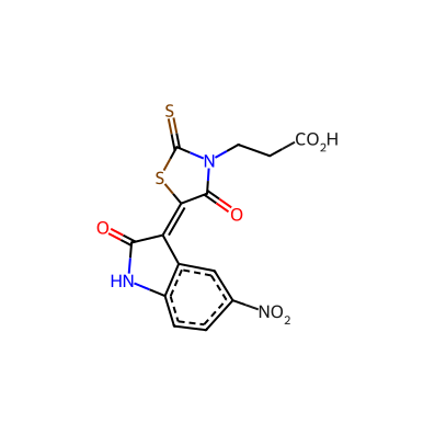 O=C(O)CCN1C(=O)/C(=C2/C(=O)Nc3ccc([N+](=O)[O-])cc32)SC1=S